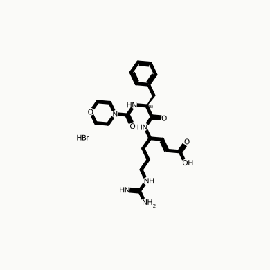 Br.N=C(N)NCCCC(C=CC(=O)O)NC(=O)[C@H](Cc1ccccc1)NC(=O)N1CCOCC1